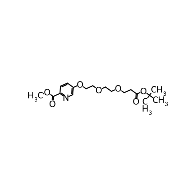 COC(=O)c1ccc(OCCOCCOCCC(=O)OC(C)(C)C)cn1